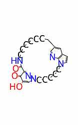 O=C1NCCCCCCCc2cnc3c(ccn3CCCCCn3cc(O)c(=O)c1n3)c2